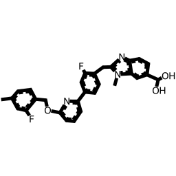 Cc1ccc(COc2cccc(-c3ccc(Cc4nc5ccc(C(O)O)cc5n4C)c(F)c3)n2)c(F)c1